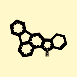 C1=Cc2[nH]c3c(cc4c5c(cccc53)-c3ccccc3-4)c2CC1